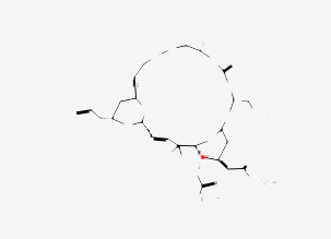 C=CC[C@H]1C[C@H]2CCOCC[C@@H](O)CC(=O)O[C@@H](CO)CC3C/C(=C\C(=O)OC)[C@H](OC(=O)CCCCCCC)[C@@](O)(O3)C(C)(C)/C=C/[C@H](O2)O1